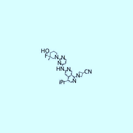 CC(C)c1cnc(N2CC(C#N)C2)c2cnc(Nc3ccnc(N4CC[C@@H](O)[C@@](C)(F)C4)n3)cc12